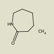 C.O=C1CCCCCN1